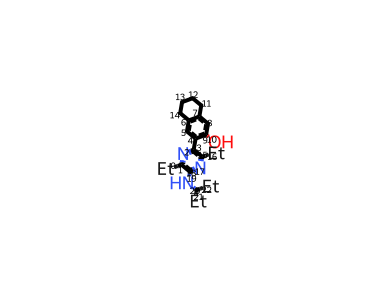 CCc1nc(-c2cc3c(cc2O)CCCC3)c(CC)nc1NC(CC)CC